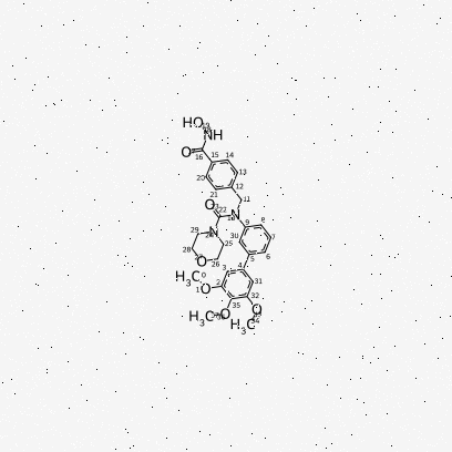 COc1cc(-c2cccc(N(Cc3ccc(C(=O)NO)cc3)C(=O)N3CCOCC3)c2)cc(OC)c1OC